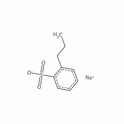 CCCc1ccccc1S(=O)(=O)[O-].[Na+]